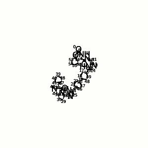 COC(=O)N[C@@H](C(=O)N(C)[C@@H](C)c1ncc(-c2ccc(-c3ccc(-c4cnc([C@@H]5CCCN5C(=O)[C@@H](c5ccccc5)N(C)C)[nH]4)cc3)cc2)[nH]1)c1ccccc1